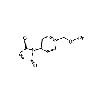 CC(C)OCc1ccc(N2C(=O)C=CC2=O)cc1